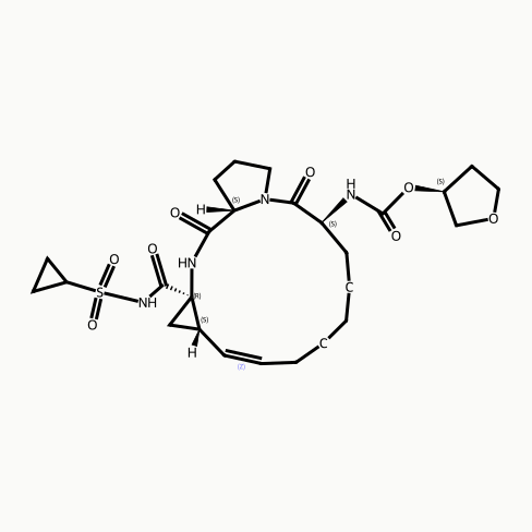 O=C(N[C@H]1CCCCC/C=C\[C@@H]2C[C@@]2(C(=O)NS(=O)(=O)C2CC2)NC(=O)[C@@H]2CCCN2C1=O)O[C@H]1CCOC1